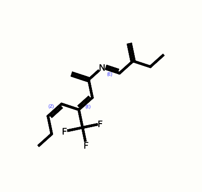 C=C(/C=N/C(=C)/C=C(\C=C/CC)C(F)(F)F)CC